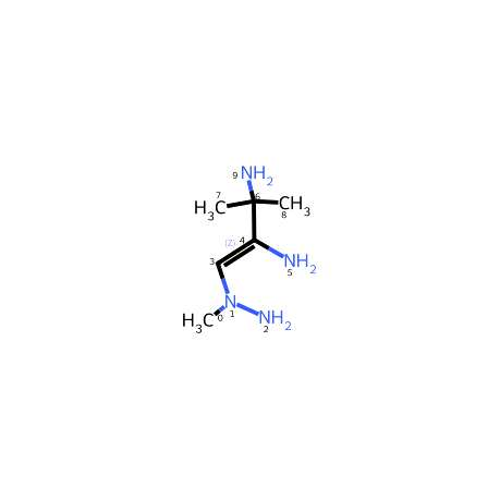 CN(N)/C=C(\N)C(C)(C)N